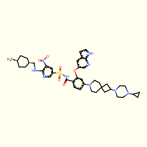 C[C@H]1CC[C@@H](CNc2ncc(S(=O)(=O)NC(=O)c3ccc(N4CCC5(CC4)CC(N4CCN(C6CC6)CC4)C5)cc3Oc3cnc4[nH]ccc4c3)cc2[N+](=O)[O-])CC1